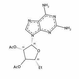 CC[C@H]1O[C@@H](n2cnc3c(N)nc(N)nc32)[C@@H](OC(C)=O)C1OC(C)=O